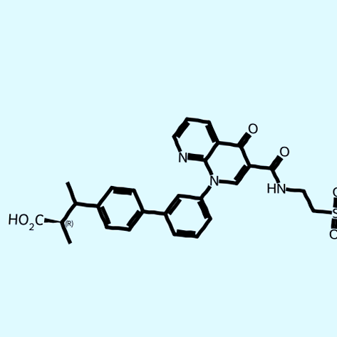 CC(c1ccc(-c2cccc(-n3cc(C(=O)NCCS(C)(=O)=O)c(=O)c4cccnc43)c2)cc1)[C@@H](C)C(=O)O